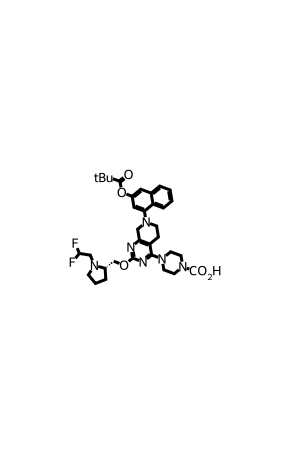 CC(C)(C)C(=O)Oc1cc(N2CCc3c(nc(OC[C@@H]4CCCN4CC(F)F)nc3N3CCN(C(=O)O)CC3)C2)c2ccccc2c1